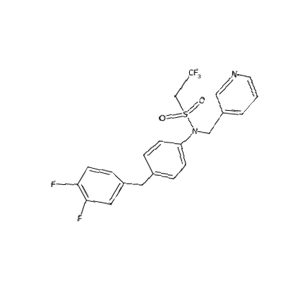 O=S(=O)(CC(F)(F)F)N(Cc1cccnc1)c1ccc(Cc2ccc(F)c(F)c2)cc1